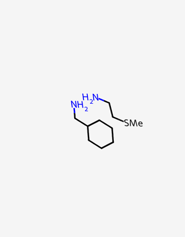 CSCCN.NCC1CCCCC1